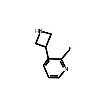 Fc1ncccc1C1CNC1